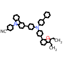 C=Cc1oc2c(-c3ccc(N(c4ccc(-c5ccccc5)cc4)c4ccc(-c5ccc6c(c5)c5ccccc5n6-c5ccc(C#N)cc5)cc4)cc3)cccc2c1C=C